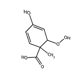 CC1(C(=O)O)C=CC(O)=CC1OO